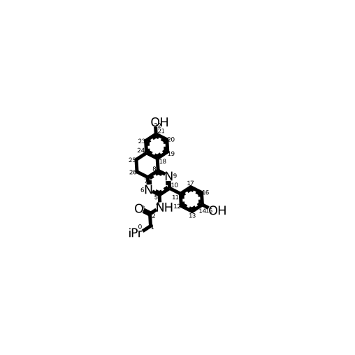 CC(C)CC(=O)Nc1nc2c(nc1-c1ccc(O)cc1)-c1ccc(O)cc1CC2